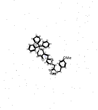 COc1ccc(Cn2nnnc2Cn2ccc(/C=C3/CN(C(c4ccccc4)(c4ccccc4)c4ccccc4)CCC3=O)n2)cc1